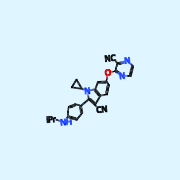 CC(C)Nc1ccc(-c2c(C#N)c3ccc(Oc4nccnc4C#N)cc3n2C2CC2)cc1